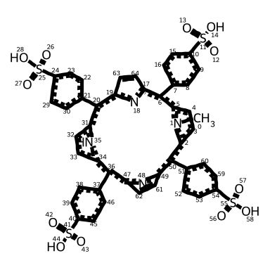 Cn1c2ccc1c(-c1ccc(S(=O)(=O)O)cc1)c1nc(c(-c3ccc(S(=O)(=O)O)cc3)c3ccc([nH]3)c(-c3ccc(S(=O)(=O)O)cc3)c3nc(c2-c2ccc(S(=O)(=O)O)cc2)C=C3)C=C1